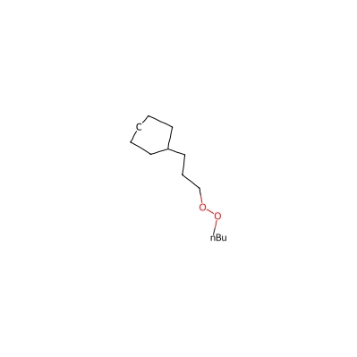 CCCCOOCCCC1CCCCC1